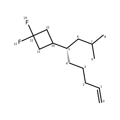 C=CCCC[C@@H](CC(C)C)C1CC(F)(F)C1